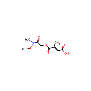 CON(C)C(=O)COC(=O)/C(C)=C/C(=O)O